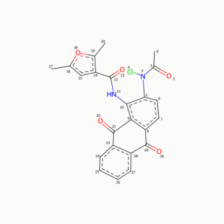 CC(=O)N(Cl)c1ccc2c(c1NC(=O)c1cc(C)oc1C)C(=O)c1ccccc1C2=O